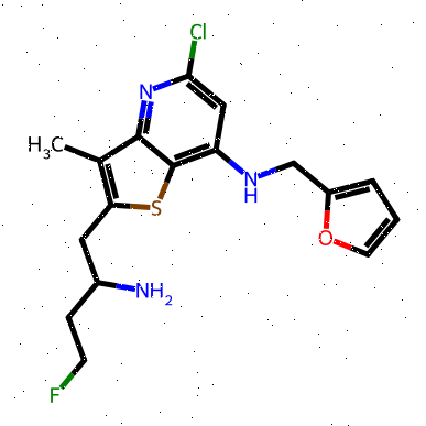 Cc1c(CC(N)CCF)sc2c(NCc3ccco3)cc(Cl)nc12